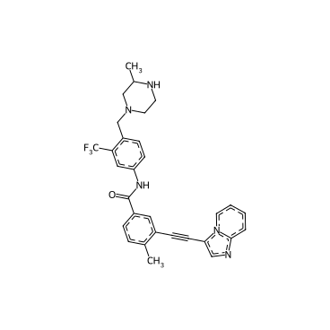 Cc1ccc(C(=O)Nc2ccc(CN3CCNC(C)C3)c(C(F)(F)F)c2)cc1C#Cc1cnc2ccccn12